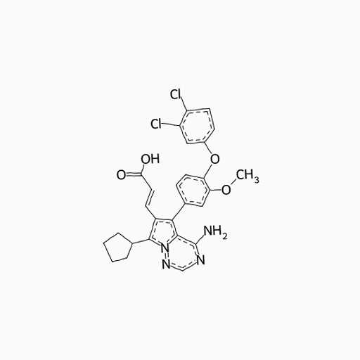 COc1cc(-c2c(/C=C/C(=O)O)c(C3CCCC3)n3ncnc(N)c23)ccc1Oc1ccc(Cl)c(Cl)c1